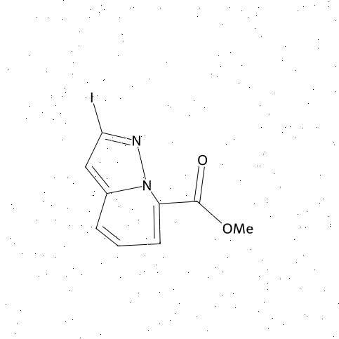 COC(=O)c1cccc2cc(I)nn12